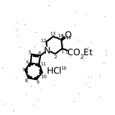 CCOC(=O)C1CN(C2=Cc3ccccc32)CCC1=O.Cl